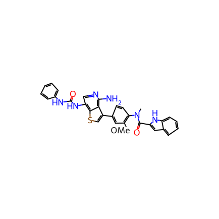 COc1cc(-c2csc3c(NC(=O)Nc4ccccc4)cnc(N)c23)ccc1N(C)C(=O)c1cc2ccccc2[nH]1